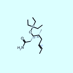 C/C=C/C[C@@H](C)[C@H](CC(N)=O)O[Si](CC)(CC)CC